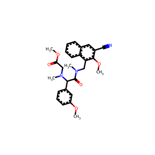 COC(=O)CN(C)C(C(=O)N(C)Cc1c(OC)c(C#N)cc2ccccc12)c1cccc(OC)c1